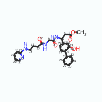 COC(=O)CC(NC(=O)CNC(=O)CCCNc1ccccn1)c1ccc(-c2ccccc2)c(O)c1